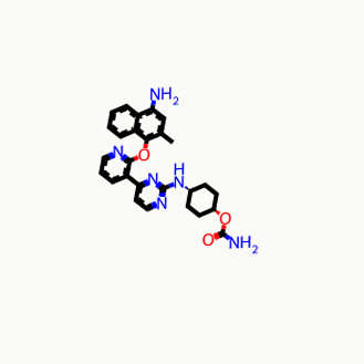 Cc1cc(N)c2ccccc2c1Oc1ncccc1-c1ccnc(N[C@H]2CC[C@H](OC(N)=O)CC2)n1